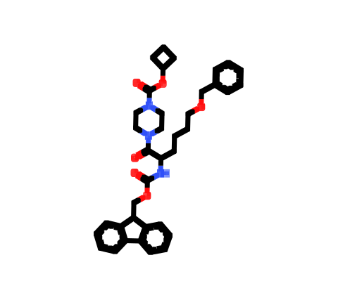 O=C(NC(CCCCOCc1ccccc1)C(=O)N1CCN(C(=O)OC2CCC2)CC1)OCC1c2ccccc2-c2ccccc21